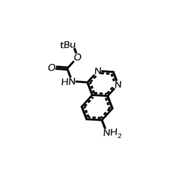 CC(C)(C)OC(=O)Nc1ncnc2cc(N)ccc12